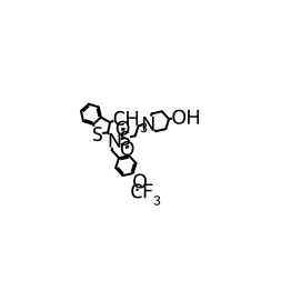 CC1c2ccccc2SC1N(Cc1ccc(OC(F)(F)F)cc1)S(=O)(=O)CCN1CCC(O)CC1